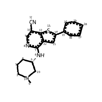 CN1CCC[C@H](Nc2ncc(C#N)c3sc(-c4ccccc4)cc23)C1